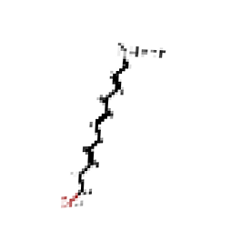 CCCCCCCCC=CCC=CCC=CCCBr